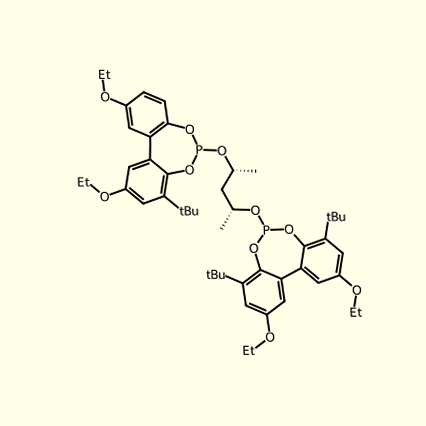 CCOc1ccc2op(O[C@H](C)C[C@@H](C)Op3oc4c(C(C)(C)C)cc(OCC)cc4c4cc(OCC)cc(C(C)(C)C)c4o3)oc3c(C(C)(C)C)cc(OCC)cc3c2c1